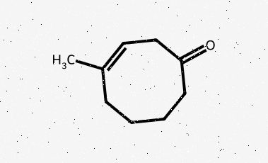 CC1=CCC(=O)CCCC1